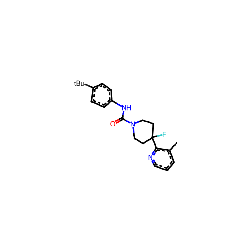 Cc1cccnc1C1(F)CCN(C(=O)Nc2ccc(C(C)(C)C)cc2)CC1